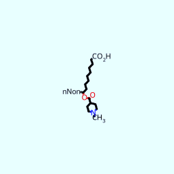 CCCCCCCCCC(CCCCCCCCC(=O)O)OC(=O)C1CCN(C)CC1